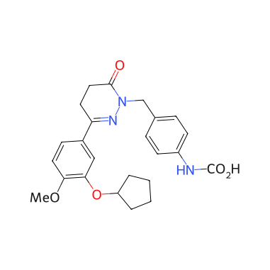 COc1ccc(C2=NN(Cc3ccc(NC(=O)O)cc3)C(=O)CC2)cc1OC1CCCC1